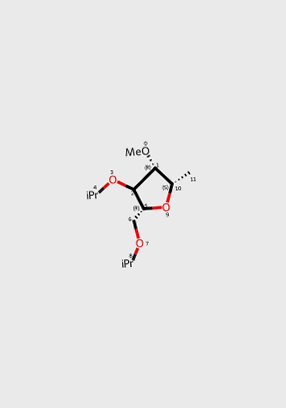 CO[C@H]1C(OC(C)C)[C@@H](COC(C)C)O[C@H]1C